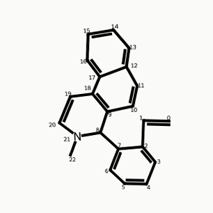 C=Cc1ccccc1C1c2ccc3ccccc3c2C=CN1C